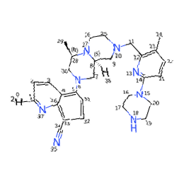 [2H]c1ccc2c(N3C[C@@H]4CN(Cc5nc(N6CCNCC6)ccc5C)CCN4[C@H](C)C3)ccc(C#N)c2n1